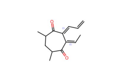 C=C/C=C1/C(=O)C(C)CC(C)C(=O)/C1=C/C